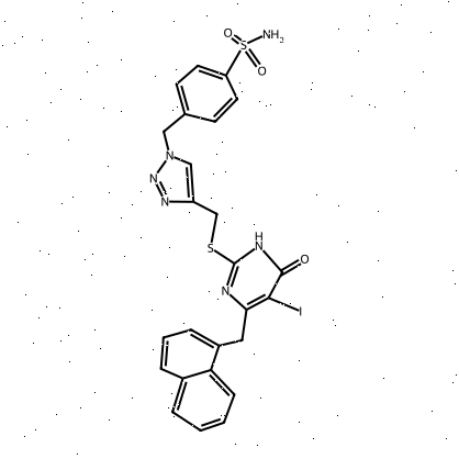 NS(=O)(=O)c1ccc(Cn2cc(CSc3nc(Cc4cccc5ccccc45)c(I)c(=O)[nH]3)nn2)cc1